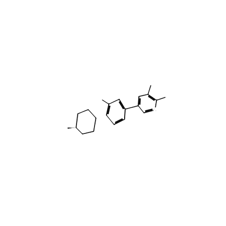 CCC[C@H]1CC[C@H](c2ccc(-c3cnc(Cl)c(Cl)c3)cc2F)CC1